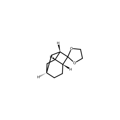 C1COC2(O1)[C@@H]1CC[C@H]3C[C@@H]1[C@@H]2C3